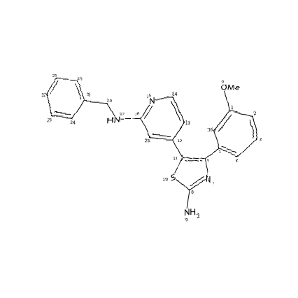 COc1cccc(-c2nc(N)sc2-c2ccnc(NCc3ccccc3)c2)c1